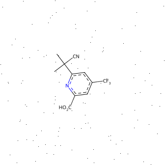 CC(C)(C#N)c1cc(C(F)(F)F)cc(C(=O)O)n1